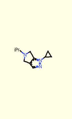 CC(C)N1Cc2cnn(C3CC3)c2C1